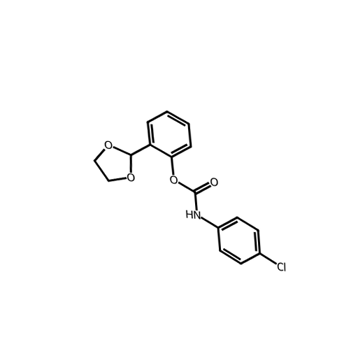 O=C(Nc1ccc(Cl)cc1)Oc1ccccc1C1OCCO1